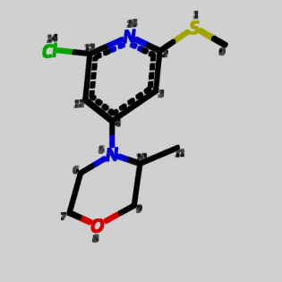 CSc1cc(N2CCOCC2C)cc(Cl)n1